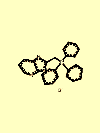 [Cl-].c1ccc([P+](Cc2nc3cccnc3[nH]2)(c2ccccc2)c2ccccc2)cc1